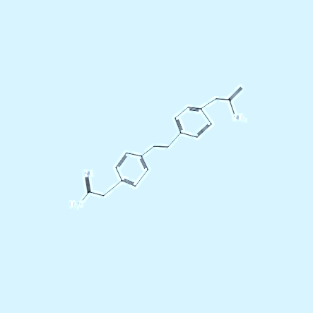 C=C(N)Cc1ccc(CCc2ccc(CC(=N)N)cc2)cc1